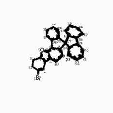 BrC1=Cc2c(oc3c4c(ccc23)C2(c3ccccc3-c3ccccc32)c2ccccc2-4)CC1